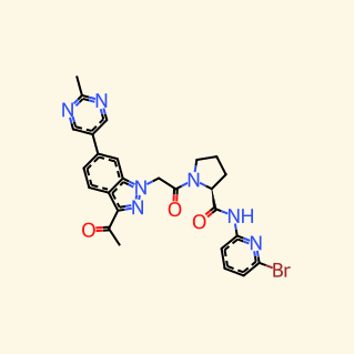 CC(=O)c1nn(CC(=O)N2CCC[C@H]2C(=O)Nc2cccc(Br)n2)c2cc(-c3cnc(C)nc3)ccc12